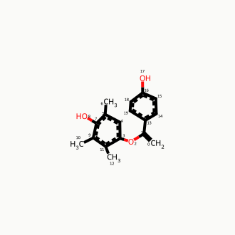 C=C(Oc1cc(C)c(O)c(C)c1C)c1ccc(O)cc1